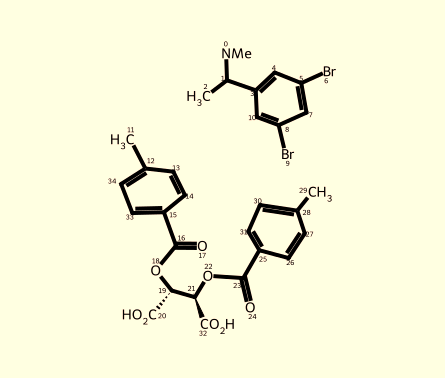 CNC(C)c1cc(Br)cc(Br)c1.Cc1ccc(C(=O)O[C@@H](C(=O)O)[C@@H](OC(=O)c2ccc(C)cc2)C(=O)O)cc1